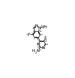 CC(C)n1ncc2c(F)cc(-c3nc(N)ncc3F)cc21